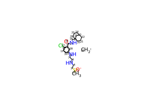 C[S+]([O-])CCNCCNc1ccc(Cl)c(C(=O)NCC23CCCC(CCC2)C3)c1.[CH2]